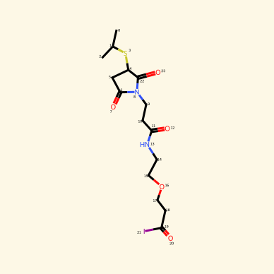 CC(C)SC1CC(=O)N(CCC(=O)NCCOCCC(=O)I)C1=O